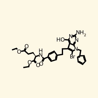 CCOC(=O)CC[C@@H](NC(=O)c1ccc(CCc2c(Br)n(Cc3ccccc3)c3nc(N)nc(O)c23)cc1)C(=O)OCC